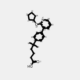 CC(C)(CCCC(=O)O)c1ccc(-c2cccnc2OC2CCCC2)cc1